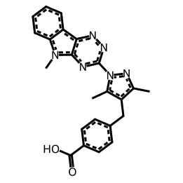 Cc1nn(-c2nnc3c4ccccc4n(C)c3n2)c(C)c1Cc1ccc(C(=O)O)cc1